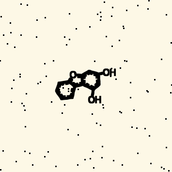 Oc1cc(O)c2c(c1)oc1ccccc12